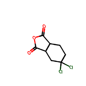 O=C1OC(=O)C2CC(Cl)(Cl)CCC12